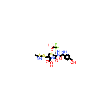 Cc1nnc(SCC2=C(C(=O)O)N3C(=O)[C@@H](NC(=O)C(N)c4ccc(CO)cc4)[C@H]3SC2)s1.O=C(O)C(F)(F)F